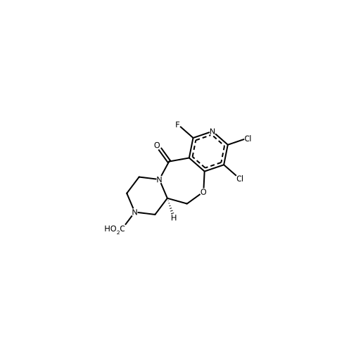 O=C(O)N1CCN2C(=O)c3c(F)nc(Cl)c(Cl)c3OC[C@H]2C1